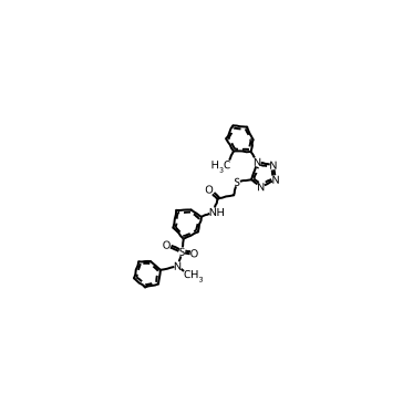 Cc1ccccc1-n1nnnc1SCC(=O)Nc1cccc(S(=O)(=O)N(C)c2ccccc2)c1